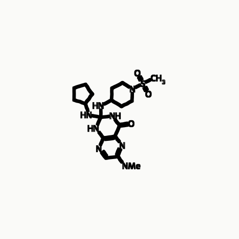 CNc1cnc2c(n1)C(=O)NC(NC1CCCC1)(NC1CCN(S(C)(=O)=O)CC1)N2